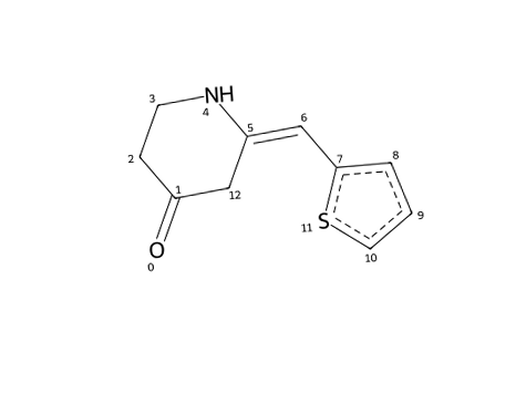 O=C1CCNC(=Cc2cccs2)C1